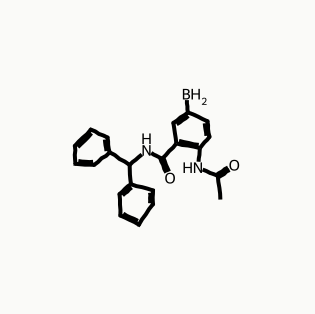 Bc1ccc(NC(C)=O)c(C(=O)NC(c2ccccc2)c2ccccc2)c1